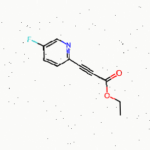 CCOC(=O)C#Cc1ccc(F)cn1